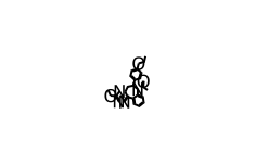 CCOc1ccc(C2Cc3nc(OC)nnc3-c3ccccc3N2C(C)=O)cc1